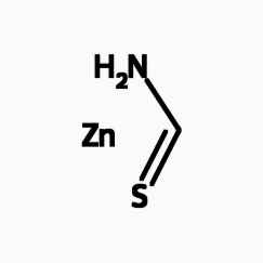 NC=S.[Zn]